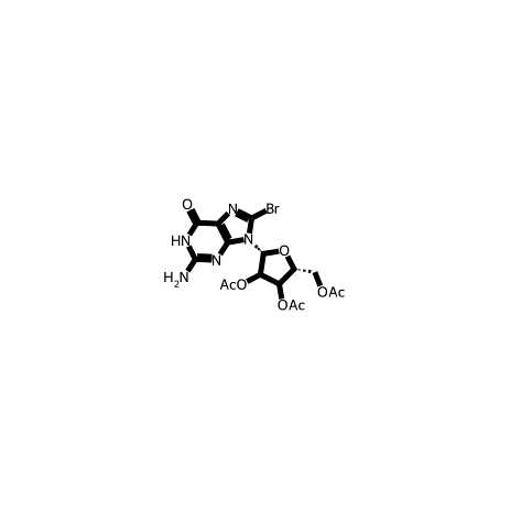 CC(=O)OC[C@H]1O[C@@H](n2c(Br)nc3c(=O)[nH]c(N)nc32)C(OC(C)=O)C1OC(C)=O